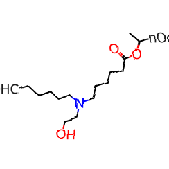 CCCCCCCCC(C)OC(=O)CCCCCN(CCO)CCCCCC=O